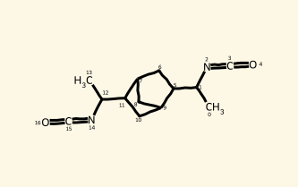 CC(N=C=O)C1CC2CC1CC2C(C)N=C=O